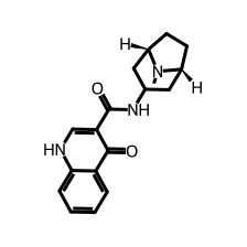 CN1[C@@H]2CC[C@H]1CC(NC(=O)c1c[nH]c3ccccc3c1=O)C2